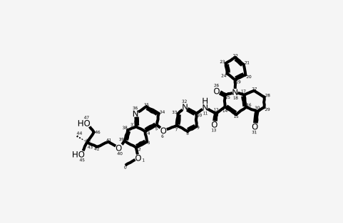 COc1cc2c(Oc3ccc(NC(=O)c4cc5c(n(-c6ccccc6)c4=O)CCCC5=O)nc3)ccnc2cc1OCC[C@@](C)(O)CO